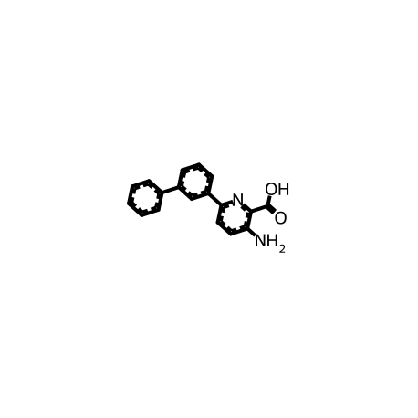 Nc1ccc(-c2cccc(-c3ccccc3)c2)nc1C(=O)O